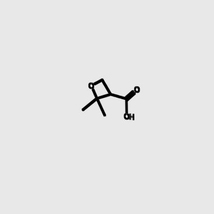 CC1(C)OCC1C(=O)O